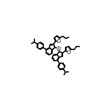 CCCc1ccc(C2=Cc3c(-c4ccc(C(C)C)cc4)cccc3[CH]2[Zr][CH]2C(c3ccc(CCC)o3)=Cc3c(-c4ccc(C(C)C)cc4)cccc32)o1